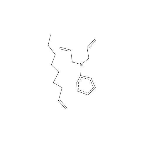 C=CCCCCCCC.C=CCN(CC=C)c1ccccc1